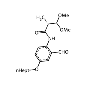 CCCCCCCOc1ccc(NC(=O)[C@H](C)C(OC)OC)c(C=O)c1